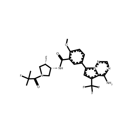 COc1ccc(-c2cc(C(F)(F)F)c3c(N)ncnn23)cc1C(=O)N[C@@H]1CN(C(=O)C(C)(C)F)C[C@@H]1F